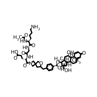 CC(=O)N[C@@H](CCCCN)C(=O)NCC(=O)N[C@@H](CCC(=O)O)C(=O)N1CC2(COC(Cc3ccc([C@@H]4O[C@@H]5C[C@H]6[C@@H]7CCC8=CC(=O)C=C[C@]8(C)[C@H]7[C@@H](O)C[C@]6(C)[C@]5(C(=O)CO)O4)cc3)C2)C1